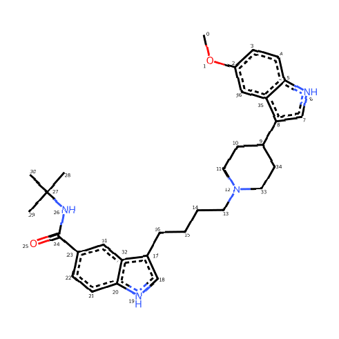 COc1ccc2[nH]cc(C3CCN(CCCCc4c[nH]c5ccc(C(=O)NC(C)(C)C)cc45)CC3)c2c1